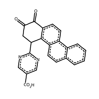 O=C1CC(c2ncc(C(=O)O)cn2)c2c(ccc3c2ccc2ccccc23)C1=O